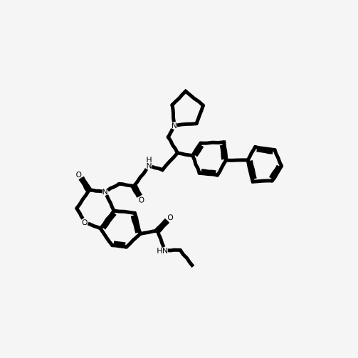 CCNC(=O)c1ccc2c(c1)N(CC(=O)NCC(CN1CCCC1)c1ccc(-c3ccccc3)cc1)C(=O)CO2